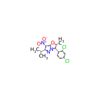 Cc1oc2c([N+](=O)[O-])c(C(C)C)nn2c1-c1ccc(Cl)cc1Cl